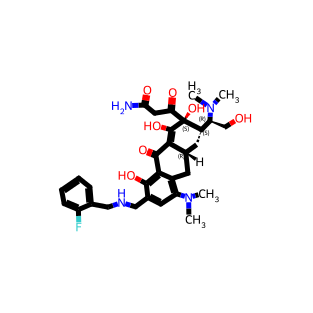 CN(C)c1cc(CNCc2ccccc2F)c(O)c2c1C[C@H]1C[C@@H]([C@H](CO)N(C)C)[C@@](O)(C(=O)CC(N)=O)C(O)=C1C2=O